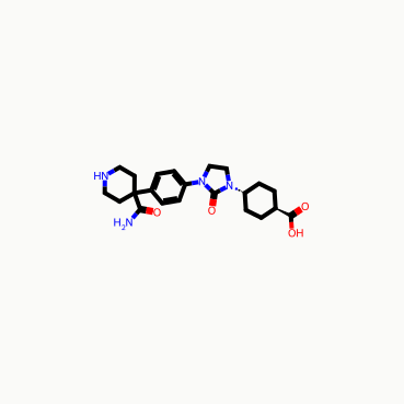 NC(=O)C1(c2ccc(N3CCN([C@H]4CC[C@H](C(=O)O)CC4)C3=O)cc2)CCNCC1